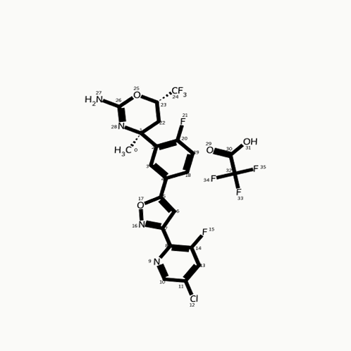 C[C@@]1(c2cc(-c3cc(-c4ncc(Cl)cc4F)no3)ccc2F)C[C@@H](C(F)(F)F)OC(N)=N1.O=C(O)C(F)(F)F